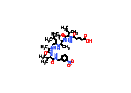 C=C(NC(CN[C@@H](C)C(=O)NC(C(=O)NCc1cccc([N+](=O)[O-])c1)C(C)C)CC(C)C)[C@H](CCC)NC(=O)C(NC(=O)CCCC(=O)O)[C@@H](C)CC